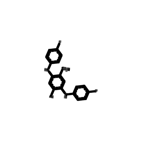 CC(=O)c1cc(Nc2ccc(F)cc2)c(C(=O)O)cc1Nc1ccc(F)cc1